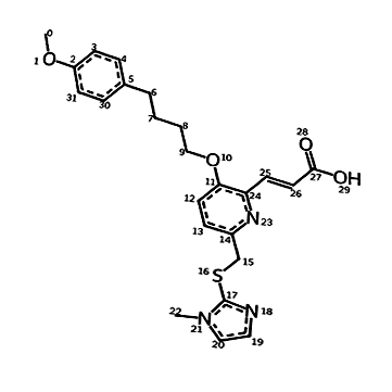 COc1ccc(CCCCOc2ccc(CSc3nccn3C)nc2C=CC(=O)O)cc1